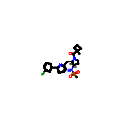 CC1(C(=O)N2CC[C@@H](NS(C)(=O)=O)[C@H]2Cc2cccc(-c3cccc(F)c3)n2)CCC1